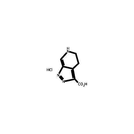 Cl.O=C(O)C1=C2CCNC=C2N=N1